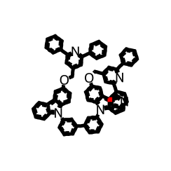 c1ccc(-c2cc(COc3ccc4c(c3)c3ccccc3n4-c3cccc(-c4cccc(-n5c6ccncc6c6cc(OCc7cc(-c8ccccc8)nc(-c8ccccc8)c7)ccc65)c4)c3)cc(-c3ccccc3)n2)cc1